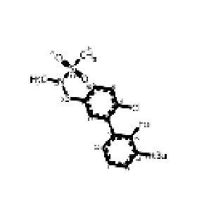 CN(Sc1ccc(Cl)c(-c2cccc(C(C)(C)C)c2F)c1)S(C)(=O)=O